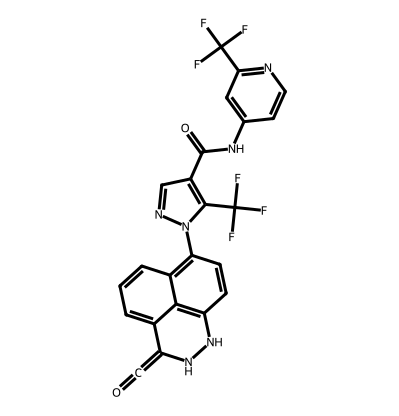 O=C=c1[nH][nH]c2ccc(-n3ncc(C(=O)Nc4ccnc(C(F)(F)F)c4)c3C(F)(F)F)c3cccc1c23